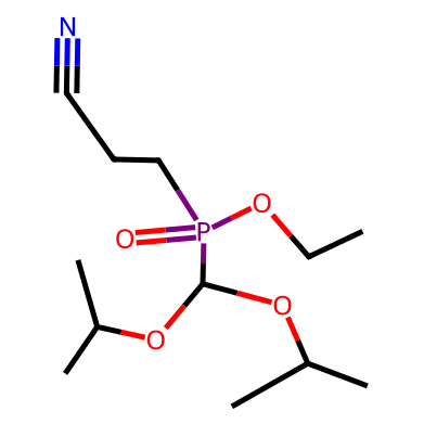 CCOP(=O)(CCC#N)C(OC(C)C)OC(C)C